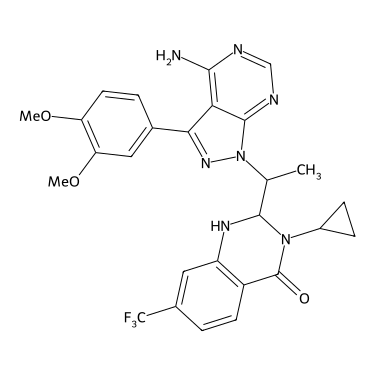 COc1ccc(-c2nn(C(C)C3Nc4cc(C(F)(F)F)ccc4C(=O)N3C3CC3)c3ncnc(N)c23)cc1OC